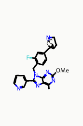 COc1nc(C)c2nc(-c3cccnc3)n(Cc3ccc(C4CN5CCC4CC5)cc3F)c2n1